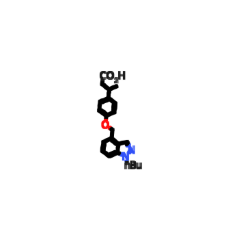 CCCCn1ncc2c(COc3ccc(C(C)CC(=O)O)cc3)cccc21